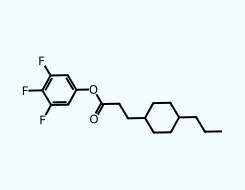 CCCC1CCC(CCC(=O)Oc2cc(F)c(F)c(F)c2)CC1